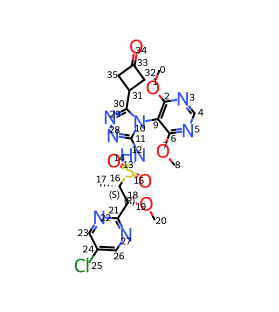 COc1ncnc(OC)c1-n1c(NS(=O)(=O)[C@@H](C)[C@H](OC)c2ncc(Cl)cn2)nnc1C1CC(=O)C1